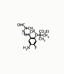 CCOC(=O)C(C)(C)Oc1cc(F)c(N)cc1N(C)/N=N\N(C)C=O